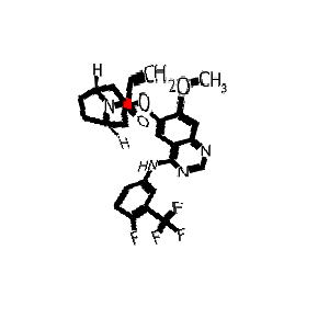 C=CC(=O)N1[C@@H]2CC[C@H]1C[C@H](Oc1cc3c(Nc4ccc(F)c(C(F)(F)F)c4)ncnc3cc1OC)C2